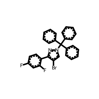 Fc1ccc(-c2nn(C(c3ccccc3)(c3ccccc3)c3ccccc3)cc2Br)c(F)c1